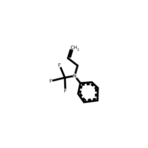 C=CCN(c1ccccc1)C(F)(F)F